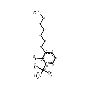 CCCCCCCCCCCCCCCCc1cccc(C(N)(CC)CC)c1CC